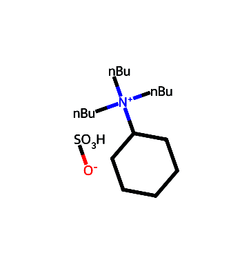 CCCC[N+](CCCC)(CCCC)C1CCCCC1.O=S(=O)([O-])O